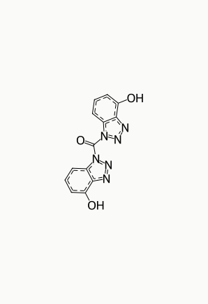 O=C(n1nnc2c(O)cccc21)n1nnc2c(O)cccc21